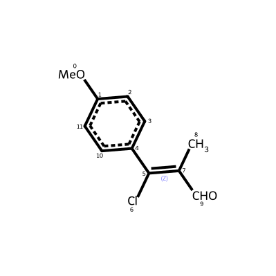 COc1ccc(/C(Cl)=C(\C)C=O)cc1